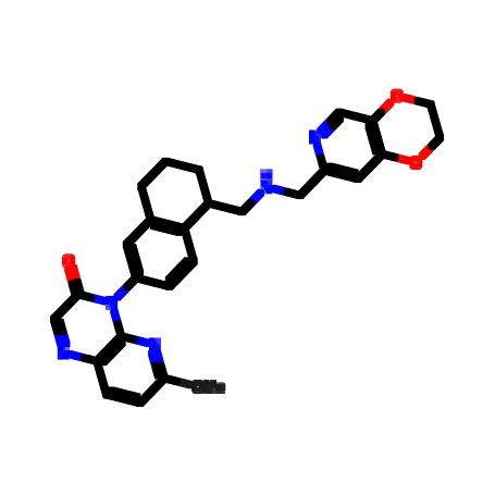 COc1ccc2ncc(=O)n(-c3ccc4c(c3)CCCC4CNCc3cc4c(cn3)OCCO4)c2n1